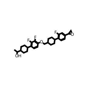 CC(O)C1CCC(c2ccc(OCC3CCC(c4ccc(C5CO5)cc4F)CC3)c(F)c2F)CC1